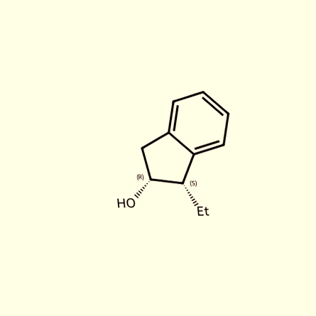 CC[C@H]1c2ccccc2C[C@H]1O